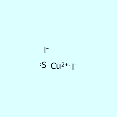 [Cu+2].[I-].[I-].[S]